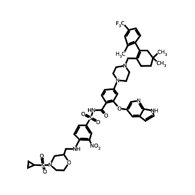 Cc1cc(C(F)(F)F)ccc1C1=C(CN2CCN(c3ccc(C(=O)NS(=O)(=O)c4ccc(NCC5CN(S(=O)(=O)C6CC6)CCO5)c([N+](=O)[O-])c4)c(Oc4cnc5[nH]ccc5c4)c3)CC2)CCC(C)(C)C1